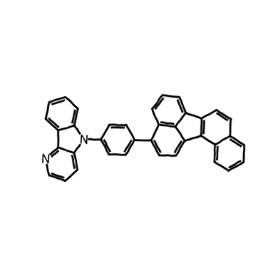 c1ccc2c3c(ccc2c1)-c1cccc2c(-c4ccc(-n5c6ccccc6c6ncccc65)cc4)ccc-3c12